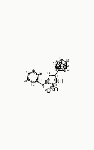 O=S1(=O)NC([C]23[CH]4[CH]5[CH]6[CH]2[Fe]56432789[CH]3[CH]2[CH]7[CH]8[CH]39)CN1Cc1ccccc1